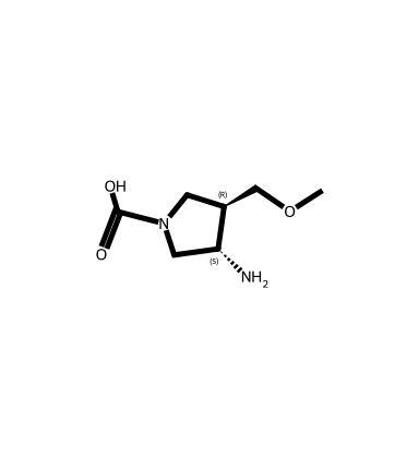 COC[C@@H]1CN(C(=O)O)C[C@H]1N